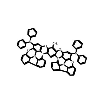 Cc1c2c(cc3c1Oc1cc(N(c4ccccc4)c4ccccc4)c4c5c1B3c1cccc3c6cccc(c6n-5c13)O4)B1c3c(cc(N(c4ccccc4)c4ccccc4)c4c3-n3c5c(cccc5c5cccc1c53)O4)O2